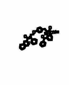 COC(=O)C(Cc1ccc(OCCN(C(=O)c2cc3ccccc3cn2)c2ccccc2)cc1)Nc1ccccc1C(=O)c1ccccc1